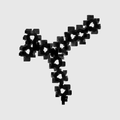 Fc1ccc(-c2ccc(-c3ccc(N(c4ccc(-c5ccc6cc(-c7ccccc7)ccc6c5)cc4)c4ccc(-n5c6ccccc6c6ccccc65)cc4)cc3)cc2)cc1